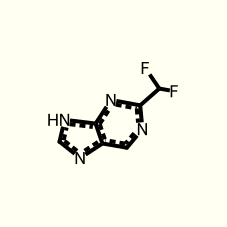 FC(F)c1ncc2nc[nH]c2n1